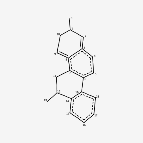 CC1C=c2ccc3c(c2=CC1)CC(C)c1ccccc1-3